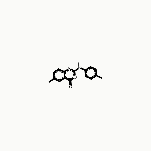 Cc1ccc(Nc2nc3ccc(C)cc3c(=O)o2)cc1